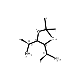 C[C@H](N)C1OC(C)(C)OC1[C@H](C)N